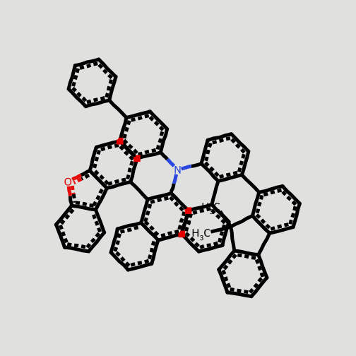 CC1(C)c2ccccc2-c2cccc(-c3cccc(N(c4ccc(-c5ccccc5)cc4)c4ccc5ccccc5c4-c4cccc5oc6ccccc6c45)c3-c3ccccc3)c21